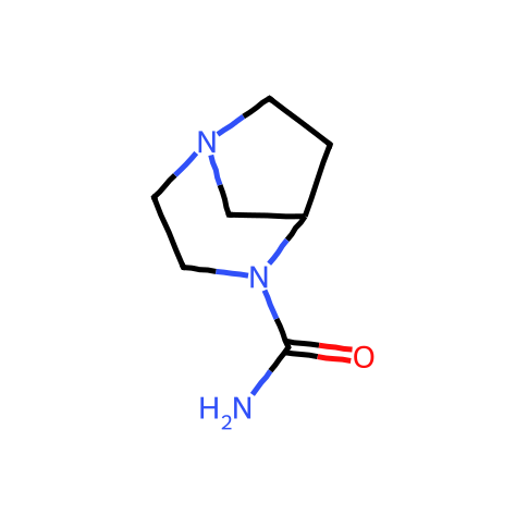 NC(=O)N1CCN2CCC1C2